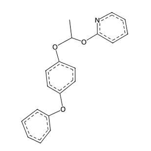 CC(Oc1ccc(Oc2ccccc2)cc1)Oc1ccccn1